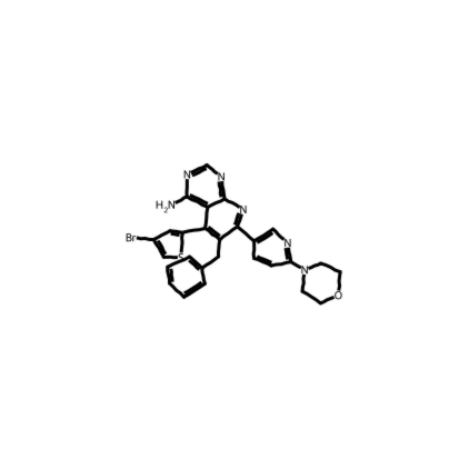 Nc1ncnc2nc(-c3ccc(N4CCOCC4)nc3)c(Cc3ccccc3)c(-c3cc(Br)cs3)c12